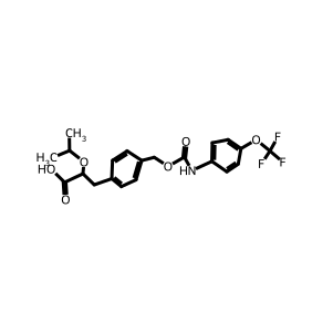 CC(C)OC(Cc1ccc(COC(=O)Nc2ccc(OC(F)(F)F)cc2)cc1)C(=O)O